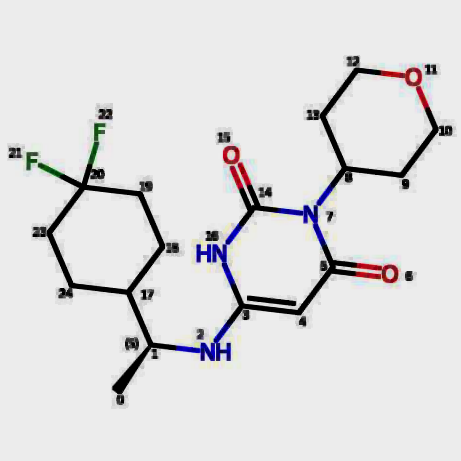 C[C@H](Nc1cc(=O)n(C2CCOCC2)c(=O)[nH]1)C1CCC(F)(F)CC1